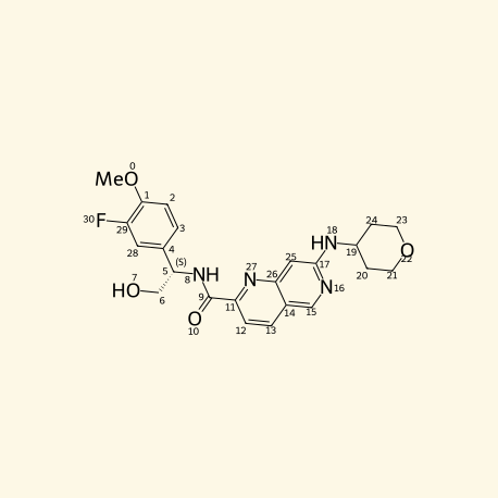 COc1ccc([C@@H](CO)NC(=O)c2ccc3cnc(NC4CCOCC4)cc3n2)cc1F